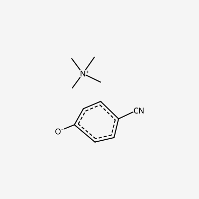 C[N+](C)(C)C.N#Cc1ccc([O-])cc1